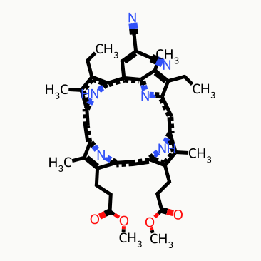 CCC1=C(C)c2nc1cc1[nH]c(cc3nc(cc4[nH]c(c2C=C(C#N)C#N)c(CC)c4C)C(C)=C3CCC(=O)OC)c(CCC(=O)OC)c1C